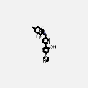 CC1C[C@H]2C/C(=C/c3ccc(-c4ccc(-n5ccnc5)cc4O)nn3)[C@@H](F)[C@@H](C1)N2